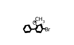 COc1[c]c(Br)ccc1-c1ccccc1